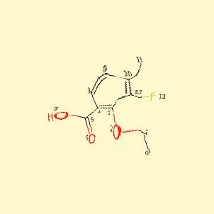 CCOc1c(C(=O)O)ccc(C)c1F